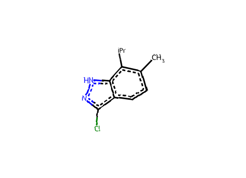 Cc1ccc2c(Cl)n[nH]c2c1C(C)C